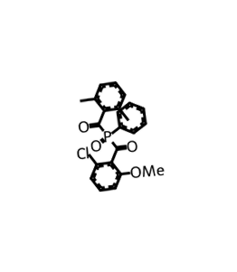 COc1cccc(Cl)c1C(=O)P(=O)(C(=O)c1c(C)cccc1C)c1ccccc1